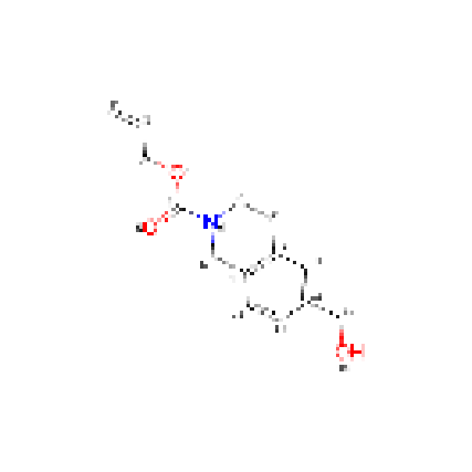 C=CCOC(=O)N1CCc2cc(CO)ccc2C1